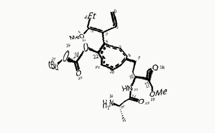 C=C/C(=C(\CC)OC)c1cc(C[C@H](NC(=O)[C@H](C)N)C(=O)OC)ccc1OC(=O)OC(C)(C)C